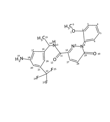 COc1ccccc1-n1nc(C(=O)NC(C)c2cc(N)cc(C(F)(F)F)c2)ccc1=O